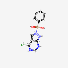 O=S(=O)(c1ccccc1)n1cc2c(Cl)ncnc2n1